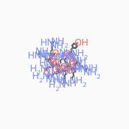 N=C(N)NCCC[C@H](NC(=O)[C@H](CCCNC(=N)N)NC(=O)[C@H](CCC(N)=O)NC(=O)[C@H](CCCNC(=N)N)NC(=O)[C@H](CCCNC(=N)N)NC(=O)[C@H](CCCNC(=N)N)NC(=O)[C@H](CCCCN)NC(=O)[C@H](CCCCN)NC(=O)[C@H](CCCNC(=N)N)NC(=O)CNC(=O)[C@@H](N)Cc1ccc(O)cc1)C(N)=O